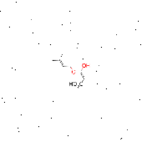 CC(C)=CCO/C(O)=C\C(=O)O